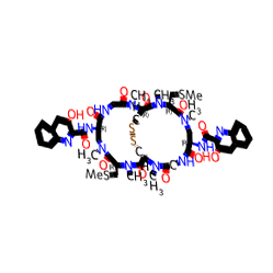 CSC[C@H]1C(=O)N(C)C[C@@H](NC(=O)c2nc3ccccc3cc2O)C(=O)NCC(=O)N(C)[C@H]2CSSC[C@@H](C(=O)N1C)N(C)C(=O)CNC(=O)[C@H](NC(=O)c1nc3ccccc3cc1O)CN(C)C(=O)[C@H](CSC)N(C)C2=O